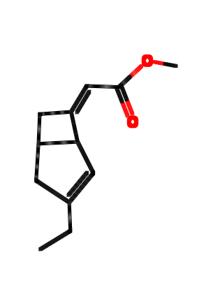 CCC1=CC2C(=CC(=O)OC)CC2C1